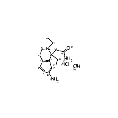 CCN1CCc2ccc(N)cc2C1(CC)CC(N)=O.Cl.Cl